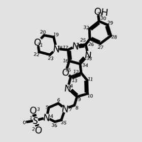 CS(=O)(=O)N1CCN(Cc2ccc3c(n2)oc2c(N4CCOCC4)nc(-c4cccc(O)c4)nc23)CC1